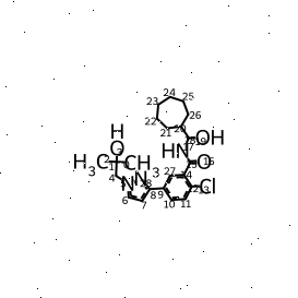 CC(C)(O)Cn1ccc(-c2ccc(Cl)c(C(=O)NC(O)C3CCCCCC3)c2)n1